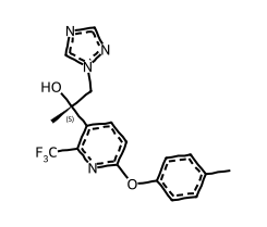 Cc1ccc(Oc2ccc([C@](C)(O)Cn3cncn3)c(C(F)(F)F)n2)cc1